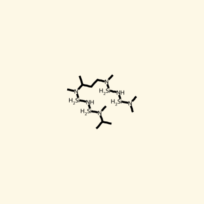 CC(C)N(C)[SiH2]N[SiH2]N(C)C(C)CCN(C)[SiH2]N[SiH2]N(C)C